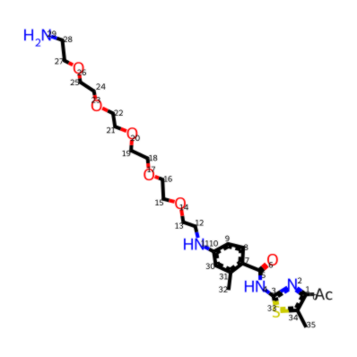 CC(=O)c1nc(NC(=O)c2ccc(NCCOCCOCCOCCOCCOCCN)cc2C)sc1C